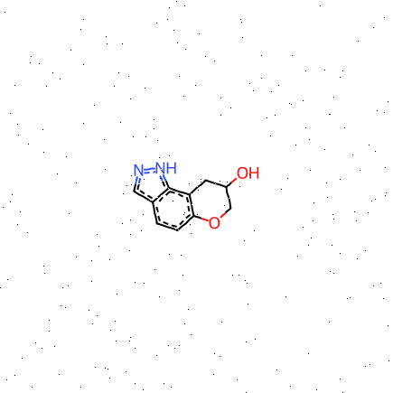 OC1COc2ccc3cn[nH]c3c2C1